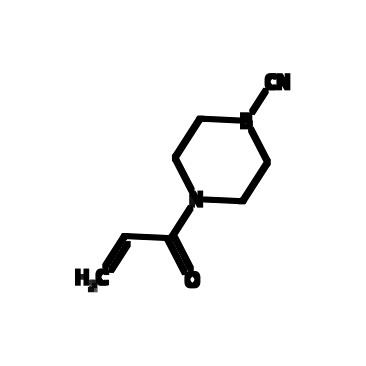 C=CC(=O)N1CCB(C#N)CC1